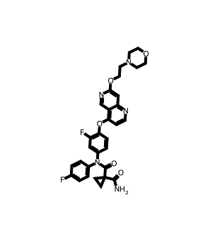 NC(=O)C1(C(=O)N(c2ccc(F)cc2)c2ccc(Oc3ccnc4cc(OCCN5CCOCC5)ncc34)c(F)c2)CC1